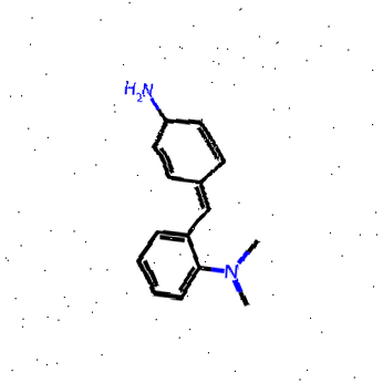 CN(C)c1ccccc1C=C1C=CC(N)C=C1